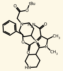 CC1C(C(N)=O)=S(C(=O)OCc2ccccc2)(C2CCN(CC(=O)OC(C)(C)C)CC2)=C(C2CCNCC2)N1C